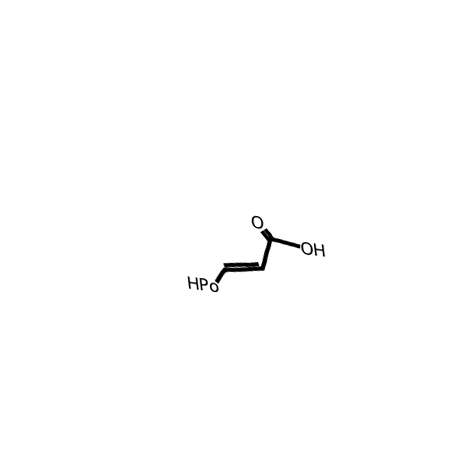 O=C(O)C=[CH][PoH]